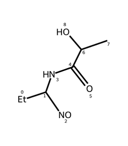 CCC(N=O)NC(=O)C(C)O